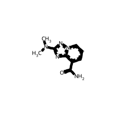 CN(C)c1nc2c(C(N)=O)c[c]cn2n1